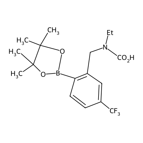 CCN(Cc1cc(C(F)(F)F)ccc1B1OC(C)(C)C(C)(C)O1)C(=O)O